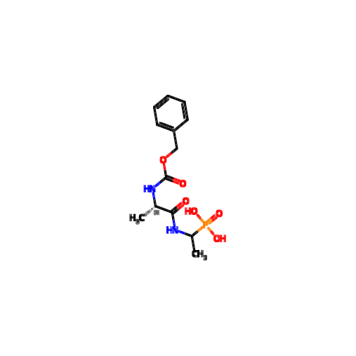 CC(NC(=O)[C@H](C)NC(=O)OCc1ccccc1)P(=O)(O)O